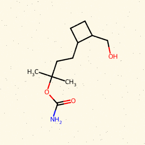 CC(C)(CCC1CCC1CO)OC(N)=O